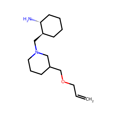 C=CCOCC1CCCN(C[C@@H]2CCCC[C@H]2N)C1